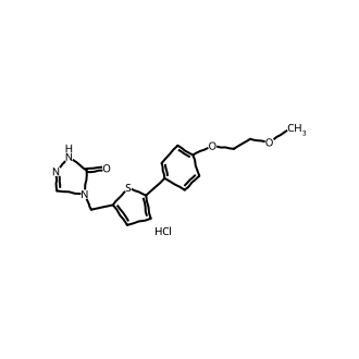 COCCOc1ccc(-c2ccc(Cn3cn[nH]c3=O)s2)cc1.Cl